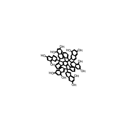 Oc1cc(O)c2cc(C3(c4ccc5cc(O)cc(O)c5c4)c4ccccc4-c4c3c3c(c5c4C(c4ccc6cc(O)cc(O)c6c4)(c4ccc6cc(O)cc(O)c6c4)c4ccccc4-5)C(c4ccc5cc(O)cc(O)c5c4)(c4ccc5cc(O)cc(O)c5c4)c4ccccc4-3)ccc2c1